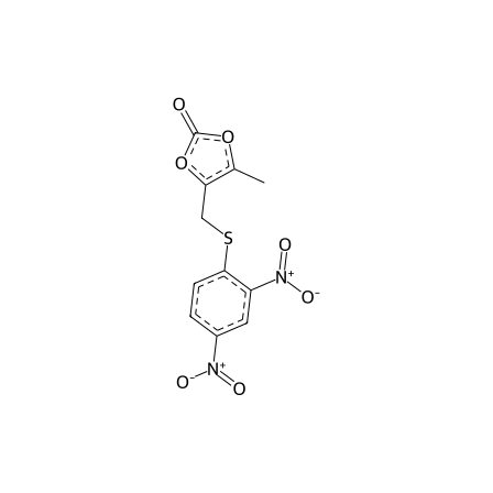 Cc1oc(=O)oc1CSc1ccc([N+](=O)[O-])cc1[N+](=O)[O-]